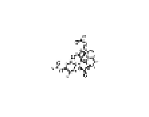 CC(=O)Oc1cc2c(cc1C)C1(OC(=O)c3ccccc31)c1cc(C)c(OC(C)=O)cc1O2